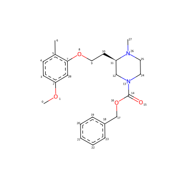 COc1ccc(C)c(OCC[C@@H]2CN(C(=O)OCc3ccccc3)CCN2C)c1